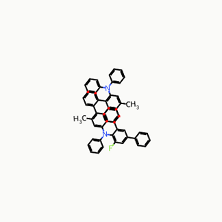 Cc1cc(N(c2ccccc2)c2ccccc2)c2c3ccccc3c3c(C)cc(N(c4ccccc4)c4c(F)cc(-c5ccccc5)cc4-c4ccccc4)c4ccc1c2c43